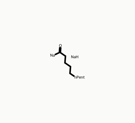 CCCCCCCCC[C](=O)[Na].[NaH]